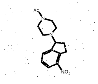 CC(=O)N1CCN(C2CCc3c2cccc3[N+](=O)[O-])CC1